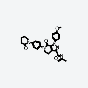 COc1ccc(-n2nc(-c3nc(C)co3)c3c2C(=O)N(c2ccc(N4CCCCC4=O)cc2)CC3)cc1